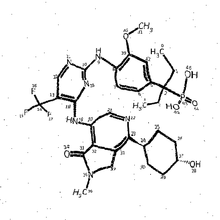 CCC(CC)(c1ccc(Nc2ncc(C(F)(F)F)c(Nc3cnc([C@H]4CC[C@H](O)CC4)c4c3C(=O)N(C)C4)n2)c(OC)c1)P(=O)(O)O